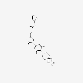 O=C(Nc1ccon1)OCC1CN(c2cc(F)c(N3CCC4(CC3)CS(=O)(=O)C4)c(F)c2)C(=O)O1